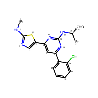 CC(C)Nc1ncc(-c2cc(-c3ccccc3Cl)nc(N[C@@H](C=O)C(C)C)n2)s1